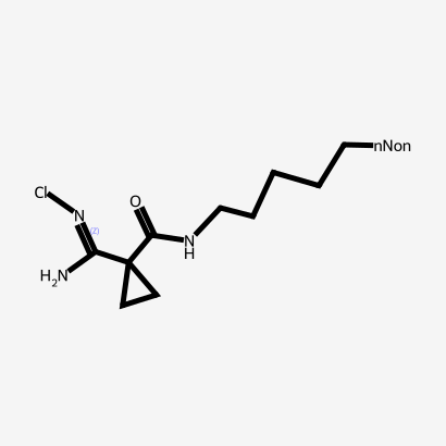 CCCCCCCCCCCCCCNC(=O)C1(/C(N)=N/Cl)CC1